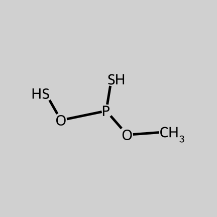 COP(S)OS